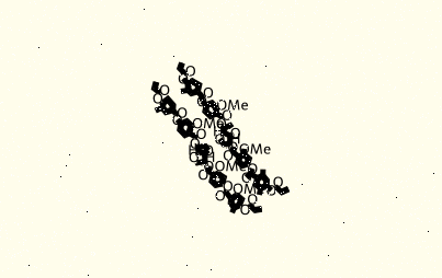 C=CC(=O)Oc1ccc(C(=O)Oc2ccc(C(=O)O[C@@H]3CO[C@H]4[C@@H]3OC[C@H]4OC(=O)c3ccc(OC(=O)c4cc(C)c(OC(=O)C=C)cc4C)cc3OC)c(OC)c2)cc1C.C=CC(=O)Oc1ccc(C(=O)Oc2ccc(C(=O)O[C@@H]3CO[C@H]4[C@@H]3OC[C@H]4OC(=O)c3ccc(OC(=O)c4cc(C)c(OC(=O)C=C)cc4OC)cc3OC)c(OC)c2)cc1C